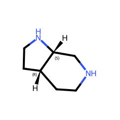 C1C[C@@H]2CCN[C@@H]2CN1